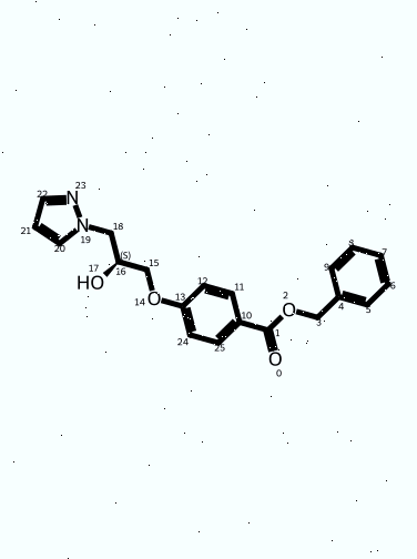 O=C(OCc1ccccc1)c1ccc(OC[C@@H](O)Cn2cccn2)cc1